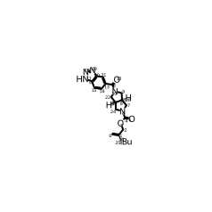 C=C(COC(=O)N1C[C@@H]2CN(C(=O)c3ccc4[nH]nnc4c3)C[C@@H]2C1)[C@H](C)CC